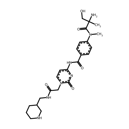 CN(C(=O)C(C)(N)CO)c1ccc(C(=O)Nc2ccn(CC(=O)NCC3CCCNC3)c(=O)n2)cc1